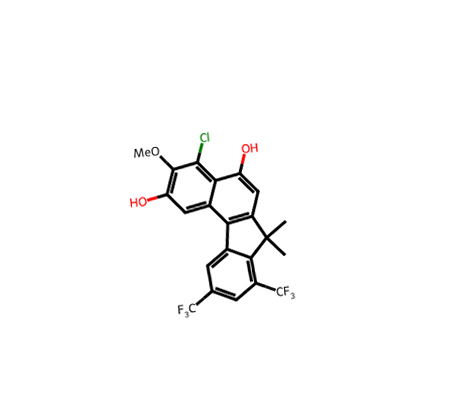 COc1c(O)cc2c3c(cc(O)c2c1Cl)C(C)(C)c1c-3cc(C(F)(F)F)cc1C(F)(F)F